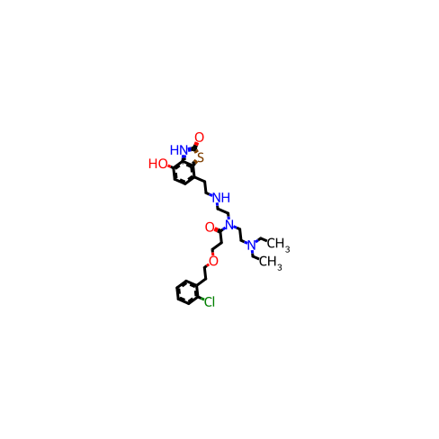 CCN(CC)CCN(CCNCCc1ccc(O)c2[nH]c(=O)sc12)C(=O)CCOCCc1ccccc1Cl